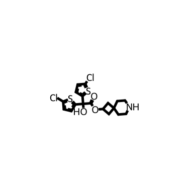 O=C(OC1CC2(CCNCC2)C1)C(O)(c1ccc(Cl)s1)c1ccc(Cl)s1